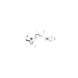 C[n+]1cn(C2CC(O)C(COC(C)(C)C)O2)c2ncncc21